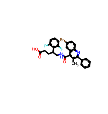 Cc1c(-c2ccccc2)nc2ccc(Br)cc2c1C(=O)NCC(CCC(=O)O)c1c(F)cccc1F